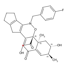 C[C@H]1C=C2C(=O)C=C3C4=C(C5=C(CCC5)C4)N(Cc4ccc(F)cc4)O[C@]3(C(=O)CO)[C@@]2(C)C[C@@H]1O